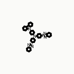 c1ccc2nn(-c3ccc(N(c4ccc(-n5nc6ccccc6n5)cc4)c4ccc(-n5c6ccccc6c6ccccc65)cc4)cc3)nc2c1